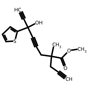 C#CCC(C)(CC#CC(O)(C#C)c1cccs1)C(=O)OC